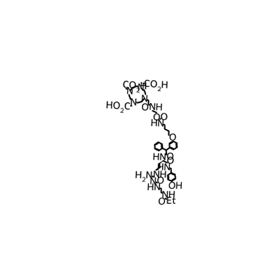 CCC(=O)NCCNC(=O)/N=C(/N)NCCC[C@@H](NC(=O)C(c1ccccc1)c1cccc(OCCCCNC(=O)OCCNC(=O)CN2CCN(CC(=O)O)CCN(CC(=O)O)CCN(CC(=O)O)CC2)c1)C(=O)NCc1ccc(O)cc1